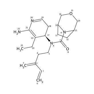 C=CC(=C)CCN(C(=O)N1C2CCC1COC2)[C@@H]1CC=NC(N)=C1CC